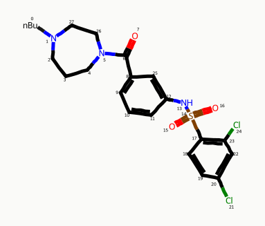 CCCCN1CCCN(C(=O)c2cccc(NS(=O)(=O)c3ccc(Cl)cc3Cl)c2)CC1